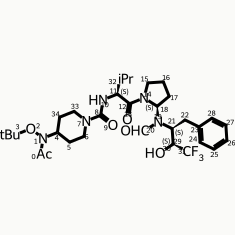 CC(=O)N(OC(C)(C)C)C1CCN(C(=O)N[C@H](C(=O)N2CCC[C@H]2N(C=O)[C@@H](Cc2ccccc2)[C@H](O)C(F)(F)F)C(C)C)CC1